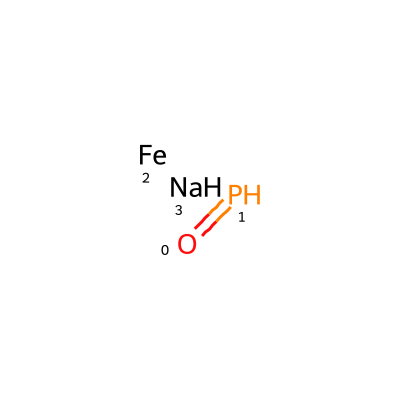 O=P.[Fe].[NaH]